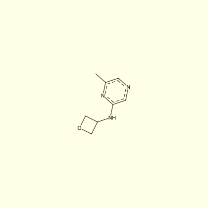 Cc1cncc(NC2COC2)n1